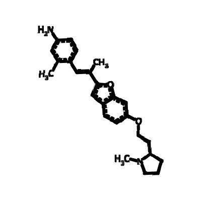 CC(=Cc1ccc(N)cc1C)c1cc2ccc(OCCC3CCCN3C)cc2o1